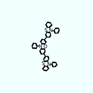 c1ccc(N2c3ccc(-c4ccc5c(c4)Sc4ccccc4N5c4ccccc4)cc3Oc3cc(-c4ccc5c(c4)Sc4ccccc4N5c4ccccc4)ccc32)cc1